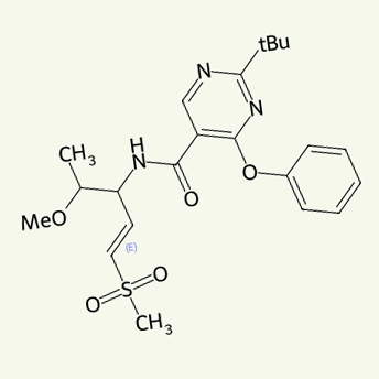 COC(C)C(/C=C/S(C)(=O)=O)NC(=O)c1cnc(C(C)(C)C)nc1Oc1ccccc1